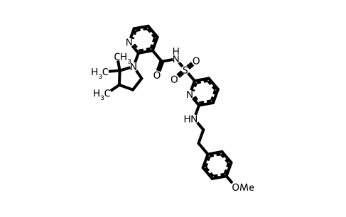 COc1ccc(CCNc2cccc(S(=O)(=O)NC(=O)c3cccnc3N3CCC(C)C3(C)C)n2)cc1